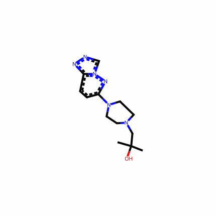 CC(C)(O)CN1CCN(c2ccc3nncn3n2)CC1